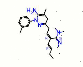 CC/C=C/C(=C/CC1=NN(c2cccc(C)c2)C(N)=C(C)C1)C(=N\C)/N(C)C